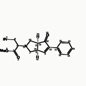 COC(=O)C(CC(C)C)N1C[C@@H]2C=C(c3ccccc3)C(=O)[C@@H]2C1